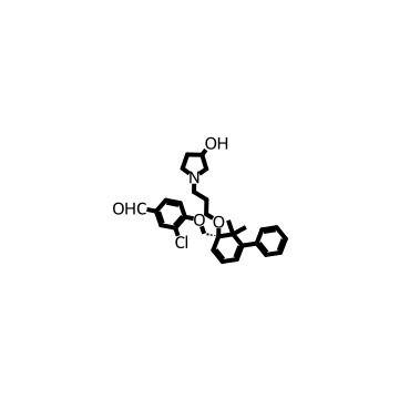 CC1(C)C(c2ccccc2)=CC=C[C@@]1(COc1ccc(C=O)cc1Cl)OCCCN1CCC(O)C1